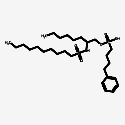 CCCCCCCCCCS(=O)(=O)NC(CCCCCC)COP(=O)(O)CCCCc1ccccc1